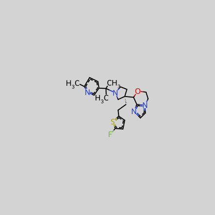 Cc1ccc(C(C)(C)N2CC[C@@](CCc3ccc(F)s3)(C3OCCn4ccnc43)C2)cn1